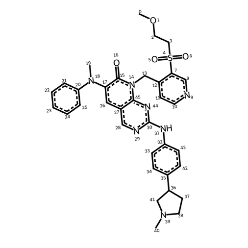 COCCS(=O)(=O)c1cnccc1Cn1c(=O)c(N(C)c2ccccc2)cc2cnc(Nc3ccc(C4CCN(C)C4)cc3)nc21